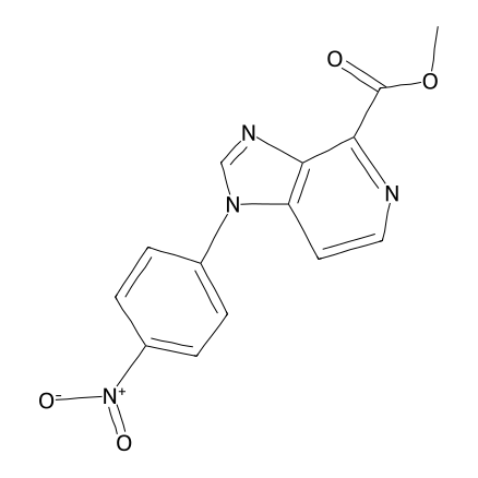 COC(=O)c1nccc2c1ncn2-c1ccc([N+](=O)[O-])cc1